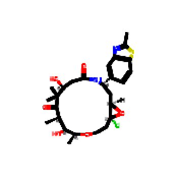 Cc1nc2cc([C@@H]3C[C@H]4O[C@@]4(Cl)CCO[C@@H](C)[C@@H](O)[C@@H](C)C(=O)C(C)(C)[C@@H](O)CC(=O)N3)ccc2s1